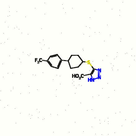 O=C(O)c1[nH]nnc1SC1CCC(c2ccc(C(F)(F)F)cc2)CC1